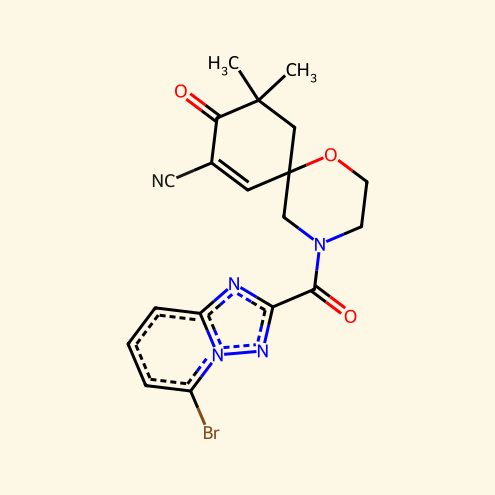 CC1(C)CC2(C=C(C#N)C1=O)CN(C(=O)c1nc3cccc(Br)n3n1)CCO2